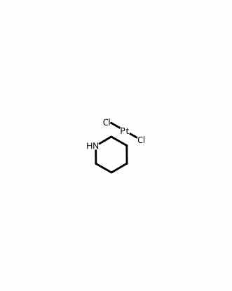 C1CCNCC1.[Cl][Pt][Cl]